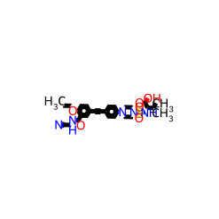 CCCOc1ccc(C#Cc2ccc(N3CCN(S(=O)(=O)NC(C(=O)O)C(C)C)CC3)cc2)cc1C(=O)NCC#N